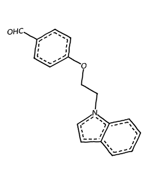 O=Cc1ccc(OCCn2ccc3ccccc32)cc1